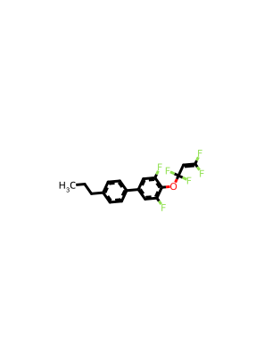 CCCc1ccc(-c2cc(F)c(OC(F)(F)C=C(F)F)c(F)c2)cc1